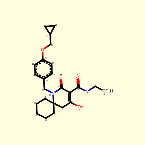 O=C(O)CNC(=O)C1=C(O)CC2(CCCCC2)N(Cc2ccc(OCC3CC3)cc2)C1=O